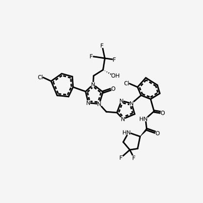 O=C(NC(=O)[C@H]1CC(F)(F)CN1)c1cccc(Cl)c1-n1cnc(Cn2nc(-c3ccc(Cl)cc3)n(C[C@@H](O)C(F)(F)F)c2=O)n1